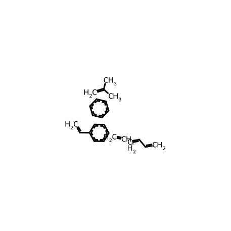 C=C.C=C(C)C.C=CC=C.C=Cc1ccccc1.c1ccccc1